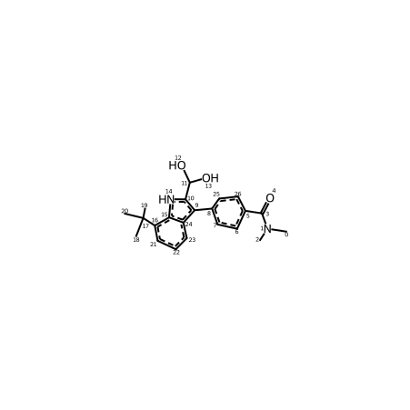 CN(C)C(=O)c1ccc(-c2c(C(O)O)[nH]c3c(C(C)(C)C)cccc23)cc1